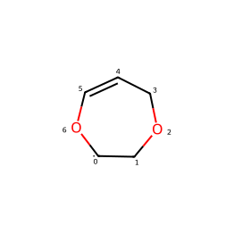 [CH]1COCC=CO1